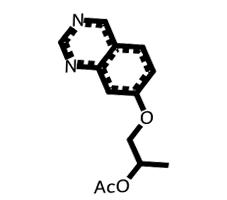 CC(=O)OC(C)COc1ccc2cncnc2c1